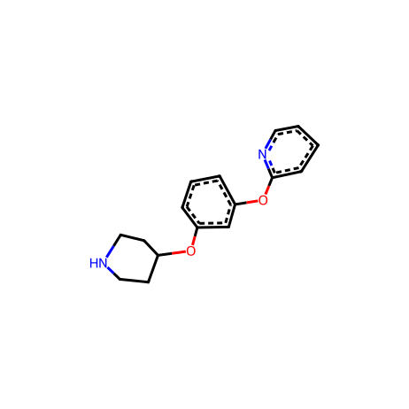 c1ccc(Oc2cccc(OC3CCNCC3)c2)nc1